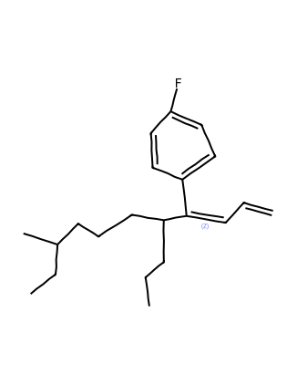 C=C/C=C(\c1ccc(F)cc1)C(CCC)CCCC(C)CC